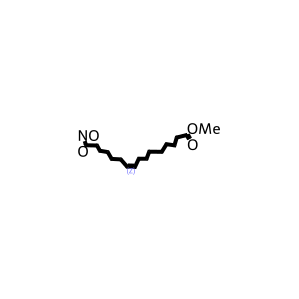 COC(=O)CCCCCCC/C=C\CCCCCC(=O)N=O